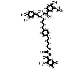 Cc1nc(N)c(C(=O)NC(=N)NCCCCc2ccc(CCCCN(C[C@H](O)c3ccc(O)c(O)c3)C[C@H](O)c3ccc(O)c(NC=O)c3)cc2)nc1Cl